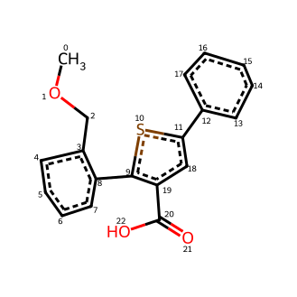 COCc1ccccc1-c1sc(-c2ccccc2)cc1C(=O)O